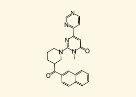 Cn1c(N2CCCC(C(=O)c3ccc4ccccc4c3)C2)nc(-c2ccncn2)cc1=O